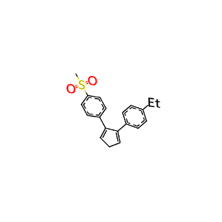 CCc1ccc(C2=CCC=C2c2ccc(S(C)(=O)=O)cc2)cc1